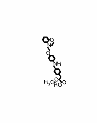 CCOC(Cc1ccc(CNc2ccc(OCCN3CCOc4ccccc43)cc2)cc1)C(=O)O